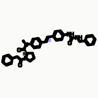 CN(C(=O)[C@@H]1CCCN1C(=O)Cc1ccccc1)c1ccc(/C=C/c2ccc(NC(=O)NCc3ccccc3)cc2)cc1